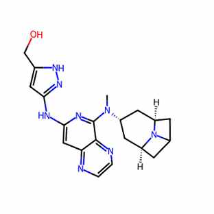 CN(c1nc(Nc2cc(CO)[nH]n2)cc2nccnc12)[C@@H]1C[C@H]2CC3C[C@@H](C1)N32